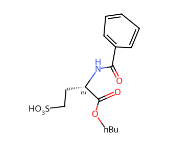 CCCCOC(=O)[C@H](CCS(=O)(=O)O)NC(=O)c1ccccc1